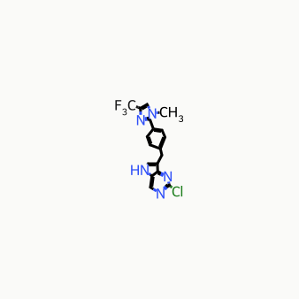 Cn1cc(C(F)(F)F)nc1-c1ccc(Cc2c[nH]c3cnc(Cl)nc23)cc1